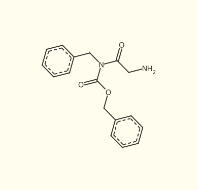 NCC(=O)N([CH]c1ccccc1)C(=O)OCc1ccccc1